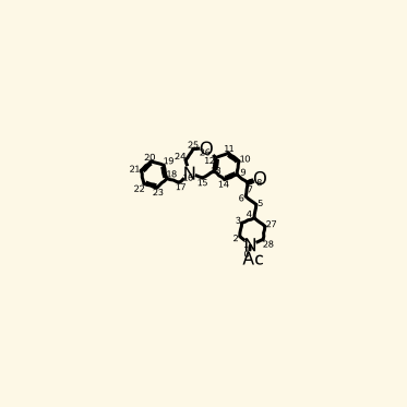 CC(=O)N1CCC(CCC(=O)c2ccc3c(c2)CN(Cc2ccccc2)CCO3)CC1